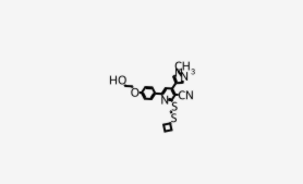 Cn1cc(-c2cc(-c3ccc(OCCO)cc3)nc(SCSC3CCC3)c2C#N)cn1